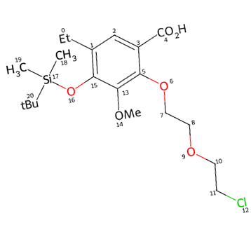 CCc1cc(C(=O)O)c(OCCOCCCl)c(OC)c1O[Si](C)(C)C(C)(C)C